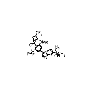 COc1cc(-c2cnc3cc(C(C)(C)C#N)ccn23)cc(OC(F)F)c1C(=O)N1CC(C(F)(F)F)C1